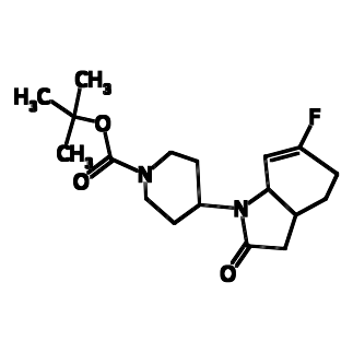 CC(C)(C)OC(=O)N1CCC(N2C(=O)CC3CCC(F)=CC32)CC1